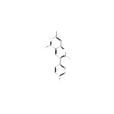 Cc1cc2nc(C)c(-c3ccc(F)cc3)cc2c(Cl)n1